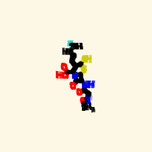 BO/N=C\C(=O)NC1C(=O)N2C(C(=O)O)=C(CCBBF)C(S)SC12